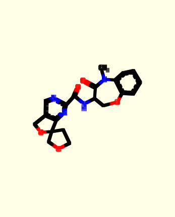 CN1C(=O)C(NC(=O)c2ncc3c(n2)C2(CCOC2)OC3)COc2ccccc21